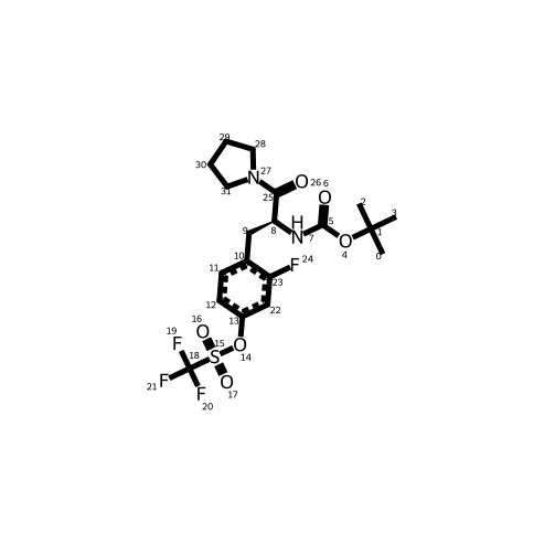 CC(C)(C)OC(=O)N[C@@H](Cc1ccc(OS(=O)(=O)C(F)(F)F)cc1F)C(=O)N1CCCC1